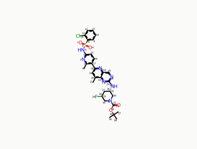 Cc1nc(NS(=O)(=O)c2ccccc2Cl)ccc1-c1cc(C)c2nc(N[C@H]3C[C@H](F)CN(C(=O)OC(C)(C)C)C3)ncc2n1